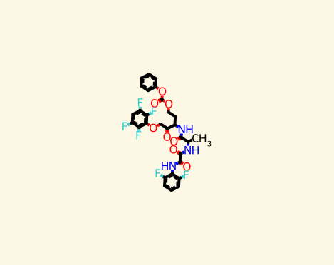 CC(NC(=O)C(=O)Nc1c(F)cccc1F)C(=O)NC(CCOC(=O)Oc1ccccc1)C(=O)COc1c(F)c(F)cc(F)c1F